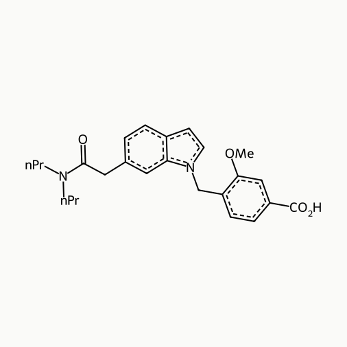 CCCN(CCC)C(=O)Cc1ccc2ccn(Cc3ccc(C(=O)O)cc3OC)c2c1